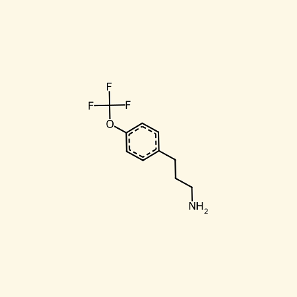 NCCCc1ccc(OC(F)(F)F)cc1